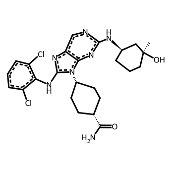 C[C@]1(O)CCC[C@@H](Nc2ncc3nc(Nc4c(Cl)cccc4Cl)n([C@H]4CC[C@@H](C(N)=O)CC4)c3n2)C1